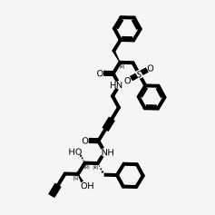 C#CC[C@H](O)[C@H](O)[C@@H](CC1CCCCC1)NC(=O)C#CCCNC(=O)[C@@H](Cc1ccccc1)CS(=O)(=O)c1ccccc1